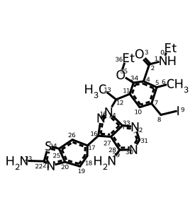 CCNC(=O)c1c(C)c(CI)cc(C(C)n2nc(-c3ccc4nc(N)sc4c3)c3c(N)ncnc32)c1OCC